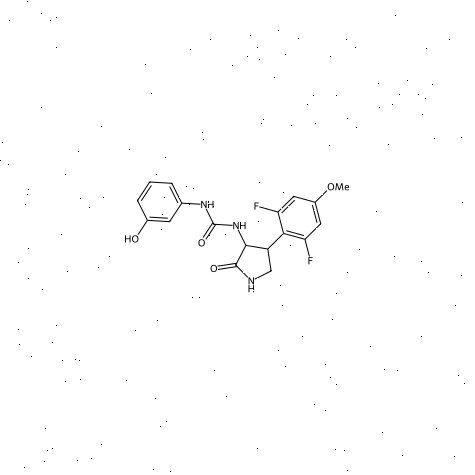 COc1cc(F)c(C2CNC(=O)C2NC(=O)Nc2cccc(O)c2)c(F)c1